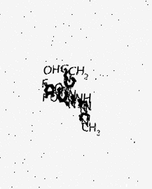 C=C(C=O)CN1CCC[C@@H](n2c(=O)c(Oc3ccc(F)cc3F)cc3cnc(Nc4cnn(C5CCN(C)CC5)c4)nc32)C1